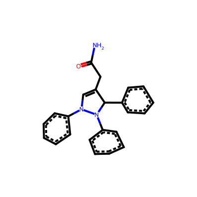 NC(=O)CC1=CN(c2ccccc2)N(c2ccccc2)C1c1ccccc1